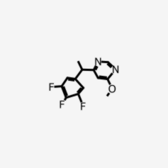 COc1cc(C(C)c2cc(F)c(F)c(F)c2)ncn1